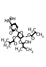 CC(C)C(=O)OC[C@H]1O[C@@H](n2ccc(NO)nc2=O)[C@H](OC(=O)C(C)C)[C@@H]1OC(O)C(C)C